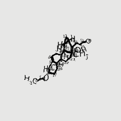 CCOC1=CC2=CC[C@H]3[C@@H]4[C@@H]5C[C@@H]5[C@@](O)(CCC=O)[C@@]4(C)CC[C@@H]3[C@@]2(C)CC1